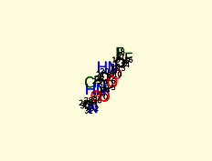 O=C(N[C@H]1CCOc2c(C(=O)Nc3ccc(F)c(F)c3)ccc(Cl)c21)OCc1ccccn1